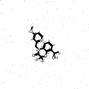 COc1ccnc(CN2C(=O)C(F)(F)Oc3c(C(C)O)cccc32)c1